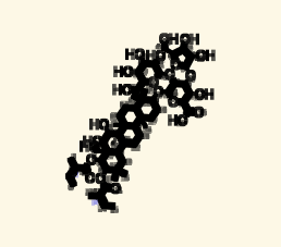 C/C=C(/C)C(=O)O[C@@H]1[C@H](OC(=O)/C(C)=C\C)C(C)(C)CC2C3=CCC4[C@@]5(C)CC[C@H](O[C@@H]6OC(C(=O)O)[C@@H](O)[C@@H](O[C@@H]7O[C@@H](CO)C(O)[C@@H]7O)C6O[C@@H]6OC(CO)[C@H](O)[C@@H](O)C6O)C(C)(C)C5CC[C@@]4(C)[C@]3(C)[C@@H](O)[C@@H](O)[C@]21CO